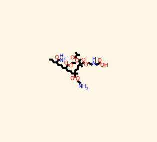 CCCC(CCCC(CCCC(C)(CCCC(C)(CC)C(=O)OCCNCC(=O)O)C(=O)OCCN)C(=O)OCCOC(=O)C(C)C)C(N)=O